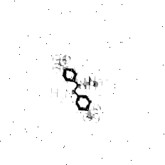 NC(c1ccc(S(=O)(=O)[O-])cc1)C(N)c1ccc(S(=O)(=O)[O-])cc1.[Na+].[Na+]